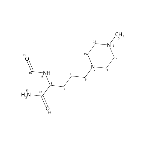 CN1CCN(CCCC(NC=O)C(N)=O)CC1